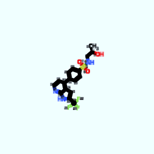 C[C@@H](O)CNS(=O)(=O)c1ccc(-c2ccnc3[nH]c(C(F)(F)F)cc23)cc1